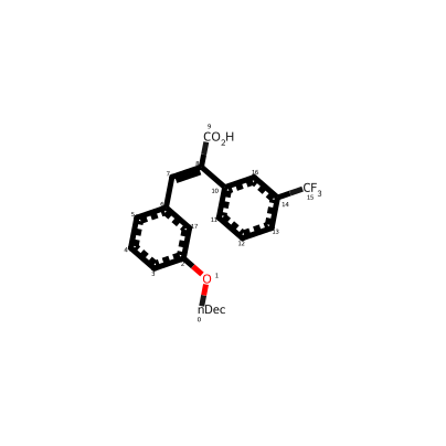 CCCCCCCCCCOc1cccc(C=C(C(=O)O)c2cccc(C(F)(F)F)c2)c1